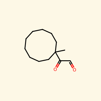 CC1(C(=O)C=O)CCCCCCCCC1